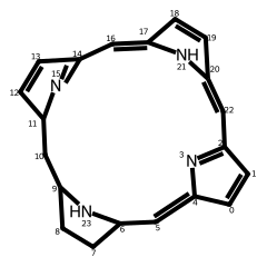 C1=CC2=NC1=CC1CCC(CC3C=CC(=N3)C=c3ccc([nH]3)=C2)N1